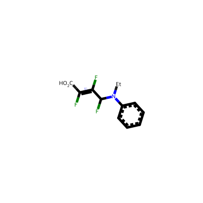 CCN(c1ccccc1)C(F)/C(F)=C(\F)C(=O)O